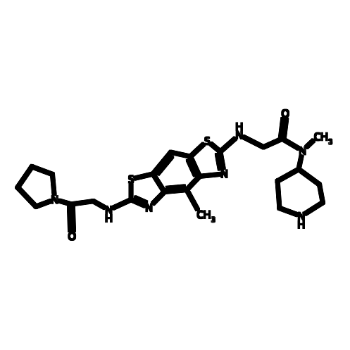 Cc1c2nc(NCC(=O)N3CCCC3)sc2cc2sc(NCC(=O)N(C)C3CCNCC3)nc12